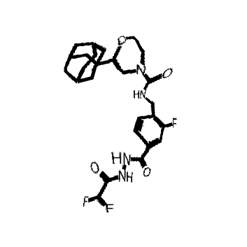 O=C(NNC(=O)C(F)F)c1ccc(CNC(=O)N2CCOC(C34CC5CC(CC(C5)C3)C4)C2)c(F)c1